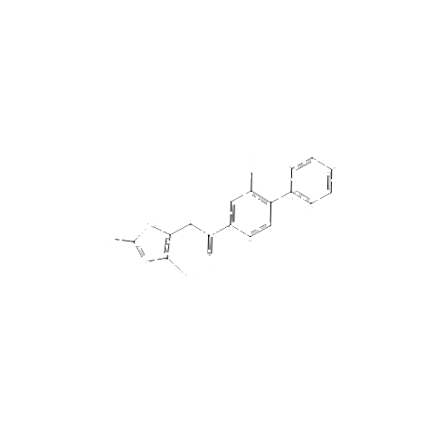 Cc1nc([N+](=O)[O-])c(CC(=O)c2ccc(-c3ccccc3)c(Br)c2)[nH]1